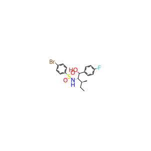 CC[C@H](C)[C@H](NS(=O)(=O)c1ccc(Br)cc1)C(O)c1ccc(F)cc1